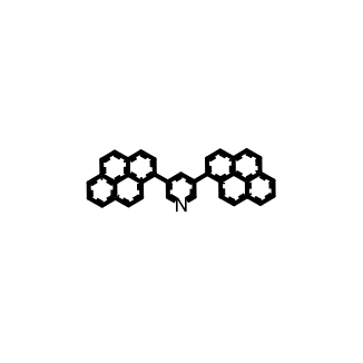 c1cc2ccc3ccc(-c4cncc(-c5ccc6ccc7cccc8ccc5c6c78)c4)c4ccc(c1)c2c34